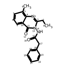 CCc1nc2c(C)cccc2c(=O)n1NC(=O)Cc1ccccc1